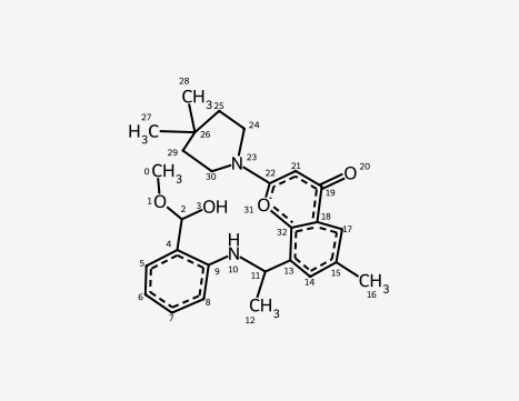 COC(O)c1ccccc1NC(C)c1cc(C)cc2c(=O)cc(N3CCC(C)(C)CC3)oc12